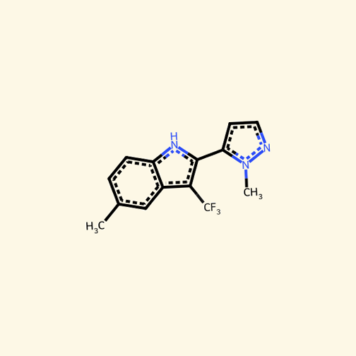 Cc1ccc2[nH]c(-c3ccnn3C)c(C(F)(F)F)c2c1